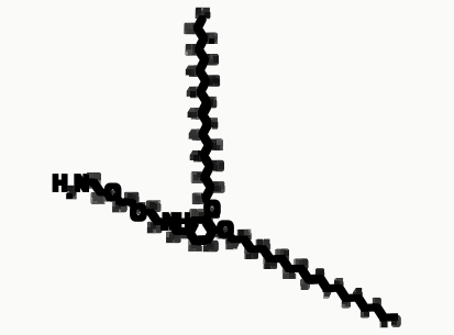 CCCCCCCCC=CCCCCCCCCOc1ccc(CNCCOCCOCCN)cc1OCCCCCCCCC=CCCCCCCCC